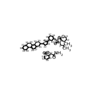 CC(C)CNC(=O)N(OC1CCCCO1)c1cccc(-c2ccc(C3=Cc4ccc5c(c4CC3)CCc3ccccc3-5)s2)c1.NC(=O)CC1C=CC=CS1(=O)=O